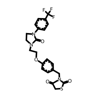 O=C1CSC(=O)N1Cc1ccc(OCCN2CCN(c3ccc(C(F)(F)F)cc3)C2=O)cc1